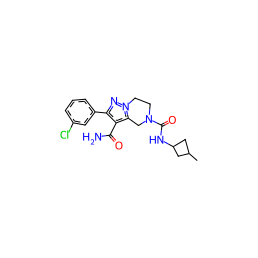 CC1CC(NC(=O)N2CCn3nc(-c4cccc(Cl)c4)c(C(N)=O)c3C2)C1